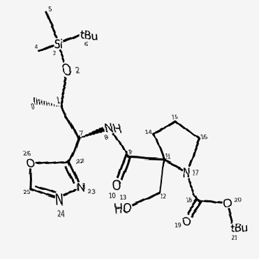 C[C@H](O[Si](C)(C)C(C)(C)C)[C@@H](NC(=O)C1(CO)CCCN1C(=O)OC(C)(C)C)c1nnco1